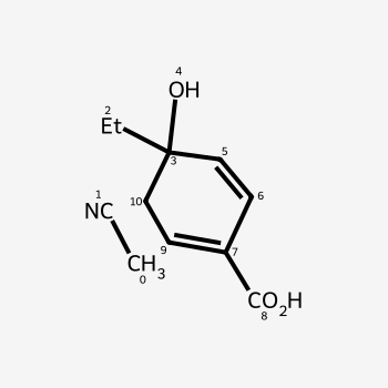 CC#N.CCC1(O)C=CC(C(=O)O)=CC1